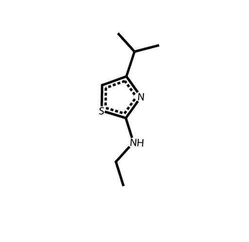 CCNc1nc(C(C)C)cs1